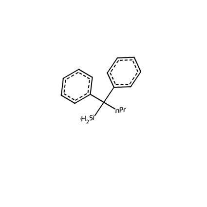 CCCC([SiH2])(c1ccccc1)c1ccccc1